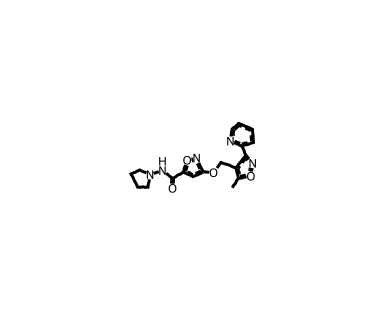 Cc1onc(-c2ccccn2)c1COc1cc(C(=O)NN2CCCC2)on1